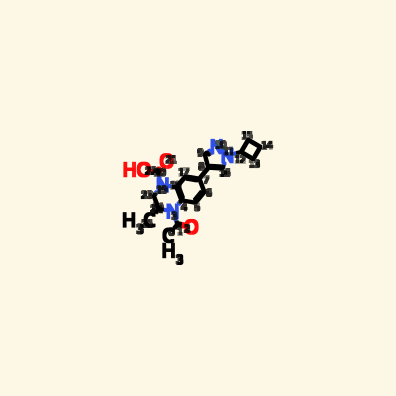 CC(=O)N1c2ccc(-c3cnn(C4CCC4)c3)cc2N(C(=O)O)C[C@@H]1C